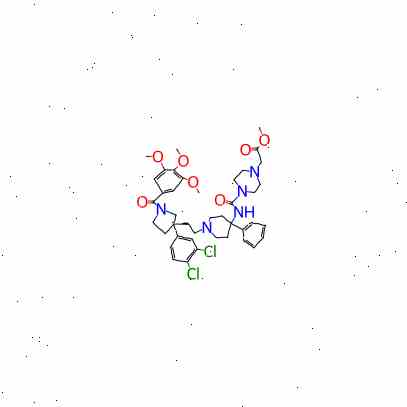 COC(=O)CN1CCN(C(=O)NC2(c3ccccc3)CCN(CC[C@@]3(c4ccc(Cl)c(Cl)c4)CCN(C(=O)c4cc(OC)c(OC)c(OC)c4)C3)CC2)CC1